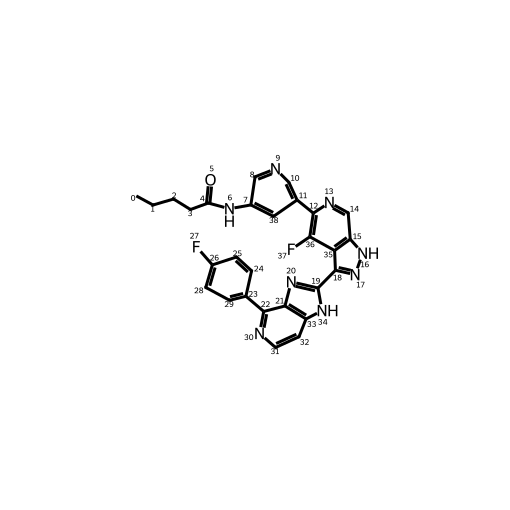 CCCCC(=O)Nc1cncc(-c2ncc3[nH]nc(-c4nc5c(-c6ccc(F)cc6)nccc5[nH]4)c3c2F)c1